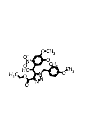 CCOC(=O)c1nnn(Cc2ccc(OC)cc2)c1C(O)c1cc(OC)c(OC)cc1[N+](=O)[O-]